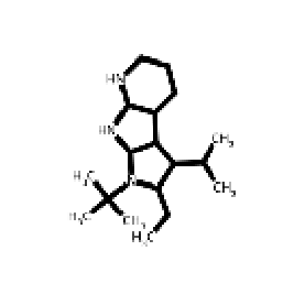 CCC1C(C(C)C)C2C3CCCNC3NC2N1C(C)(C)C